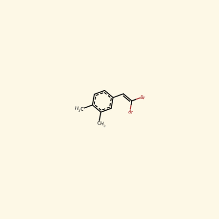 Cc1ccc(C=C(Br)Br)cc1C